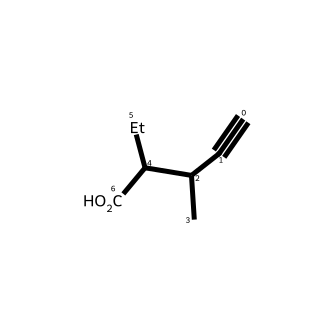 C#CC(C)C(CC)C(=O)O